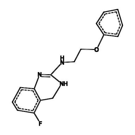 Fc1cccc2c1CNC(NCCOc1ccccc1)=N2